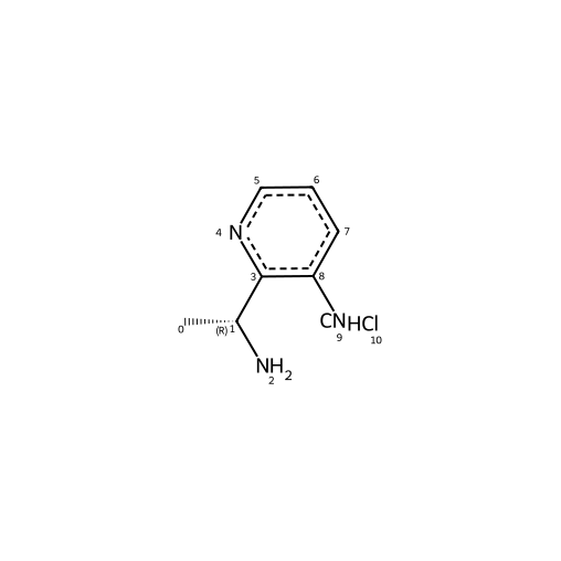 C[C@@H](N)c1ncccc1C#N.Cl